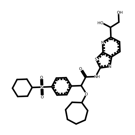 O=C(Nc1nc2ccc(C(O)CO)nc2s1)C(OC1CCCCCC1)c1ccc(S(=O)(=O)C2CCCCC2)cc1